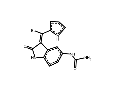 CCC(=C1C(=O)Nc2ccc(NC(N)=O)cc21)c1ccc[nH]1